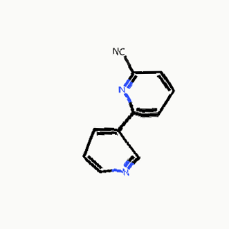 N#Cc1cccc(-c2cccnc2)n1